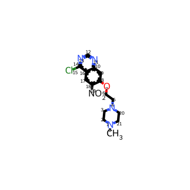 CN1CCN(CCOc2cc3ncnc(Cl)c3cc2[N+](=O)[O-])CC1